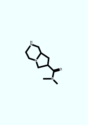 CN(C)C(=O)C1CC2CNCCN2C1